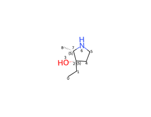 CC[C@]1(O)CCN[C@H]1C